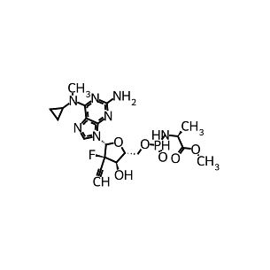 C#C[C@@]1(F)[C@H](O)[C@@H](CO[PH](=O)N[C@@H](C)C(=O)OC)O[C@H]1n1cnc2c(N(C)C3CC3)nc(N)nc21